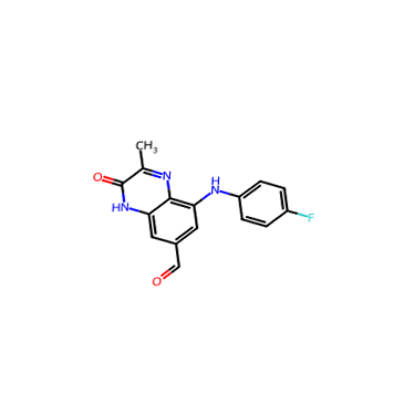 Cc1nc2c(Nc3ccc(F)cc3)cc(C=O)cc2[nH]c1=O